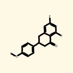 O=C1CC(c2ccc(SI)cc2)Cc2cc(F)cc(F)c21